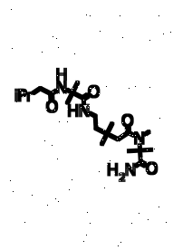 CC(C)CC(=O)NC(C)(C)C(=O)NCCC(C)(C)CC(=O)N(C)C(C)(C)C(N)=O